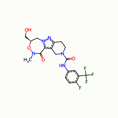 CN1O[C@@H](CO)Cn2nc3c(c2C1=O)CN(C(=O)Nc1ccc(F)c(C(F)(F)F)c1)CC3